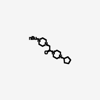 CCCCN1CCN(CC(=O)N2CCN(C3CCCC3)CC2)CC1